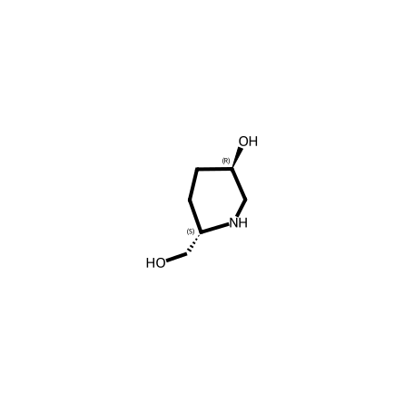 OC[C@@H]1CC[C@@H](O)CN1